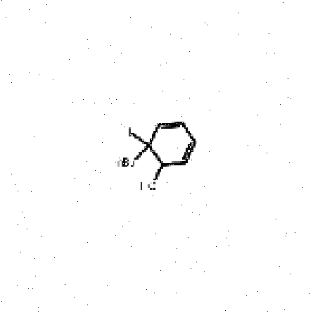 CCCCC1(I)C=CC=CC1O